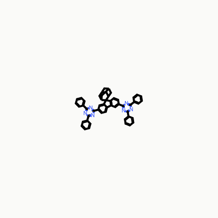 c1ccc(-c2nc(-c3ccccc3)nc(-c3ccc4c(c3)-c3ccc(-c5nc(-c6ccccc6)nc(-c6ccccc6)n5)cc3C43C4CC5CC(C4)CC3C5)n2)cc1